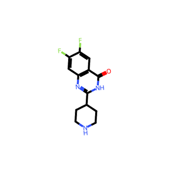 O=c1[nH]c(C2CCNCC2)nc2cc(F)c(F)cc12